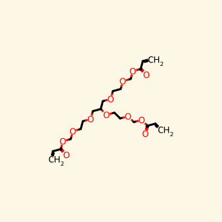 C=CC(=O)OCOCCOCC(COCCOCOC(=O)C=C)OCCOCOC(=O)C=C